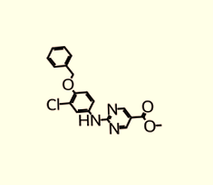 COC(=O)c1cnc(Nc2ccc(OCc3ccccc3)c(Cl)c2)nc1